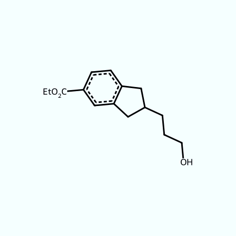 CCOC(=O)c1ccc2c(c1)CC(CCCO)C2